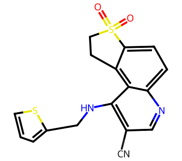 N#Cc1cnc2ccc3c(c2c1NCc1cccs1)CCS3(=O)=O